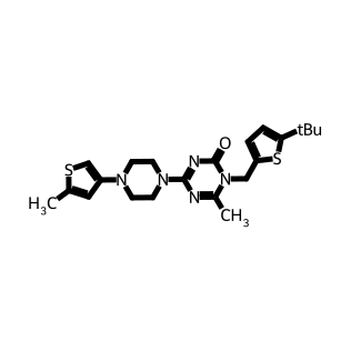 Cc1cc(N2CCN(c3nc(C)n(Cc4ccc(C(C)(C)C)s4)c(=O)n3)CC2)cs1